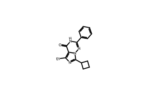 CCc1nc(C2CCC2)n2nc(-c3ccccc3)[nH]c(=O)c12